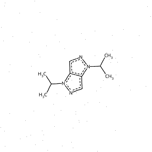 CC(C)n1ncc2c1cnn2C(C)C